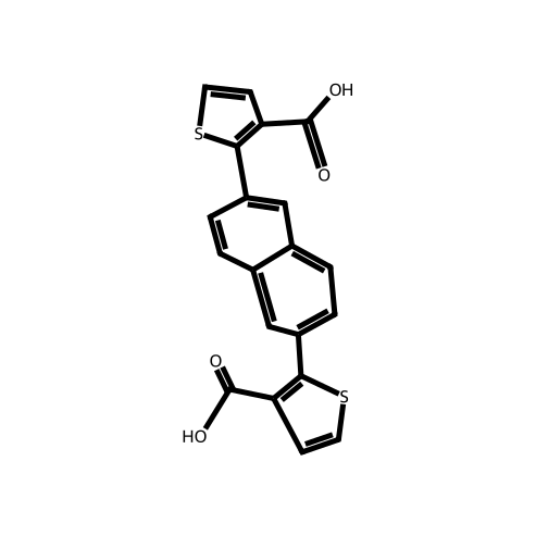 O=C(O)c1ccsc1-c1ccc2cc(-c3sccc3C(=O)O)ccc2c1